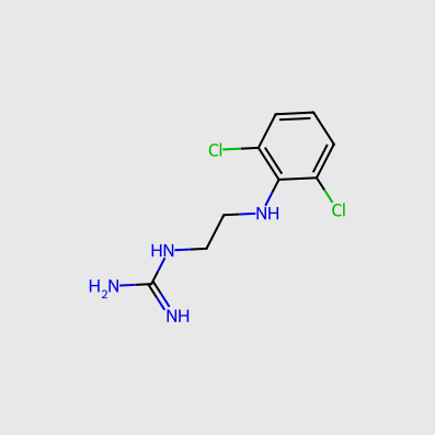 N=C(N)NCCNc1c(Cl)cccc1Cl